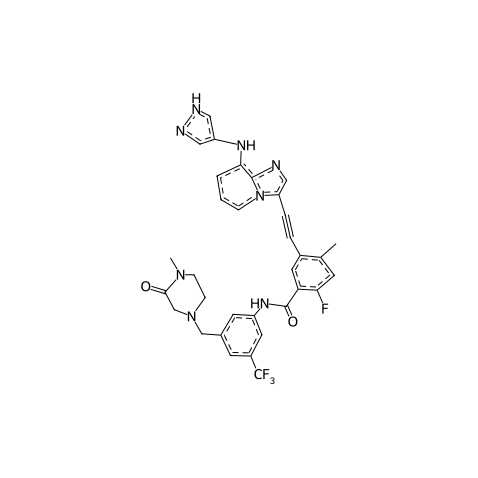 Cc1cc(F)c(C(=O)Nc2cc(CN3CCN(C)C(=O)C3)cc(C(F)(F)F)c2)cc1C#Cc1cnc2c(Nc3cn[nH]c3)cccn12